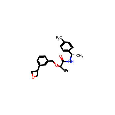 CC(C)C(OCc1cccc(C2COC2)c1)C(=O)N[C@@H](C)c1ccc(C(F)(F)F)cc1